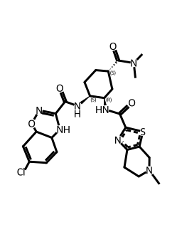 CN1CCc2nc(C(=O)N[C@@H]3C[C@@H](C(=O)N(C)C)CC[C@@H]3NC(=O)C3=NOC4C=C(Cl)C=CC4N3)sc2C1